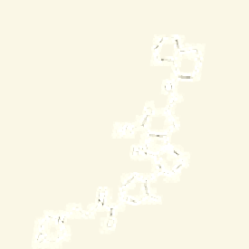 Cc1cc(C(=O)NCCN2CCOCC2)ccc1-c1cccc2c(CCCOc3cccc4ccccc34)c(C(=O)O)[nH]c12